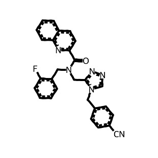 N#Cc1ccc(Cn2cnnc2CN(Cc2ccccc2F)C(=O)c2ccc3ccccc3n2)cc1